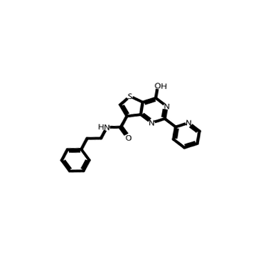 O=C(NCCc1ccccc1)c1csc2c(O)nc(-c3ccccn3)nc12